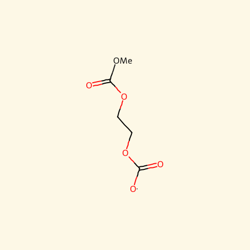 COC(=O)OCCOC([O])=O